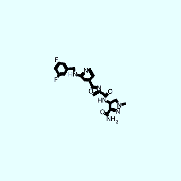 CN1CC(NC(=O)c2coc(-c3ccnc(NCc4cc(F)cc(F)c4)c3)n2)C(C(N)=O)=N1